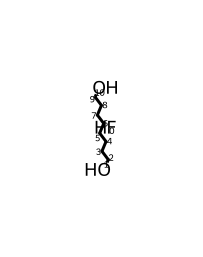 F.OCCCCCCCCO